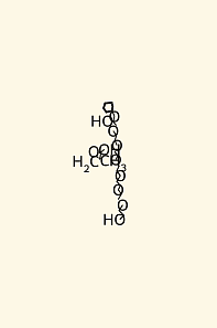 C=C(C)C(=O)O.OCCOCCOCCOCCOCCOCCOCC(O)Oc1ccccc1